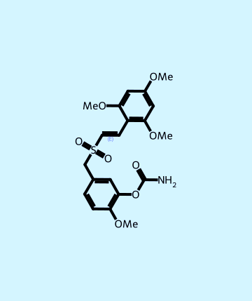 COc1cc(OC)c(/C=C/S(=O)(=O)Cc2ccc(OC)c(OC(N)=O)c2)c(OC)c1